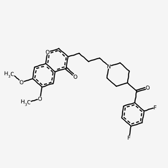 COc1cc2occ(CCCN3CCC(C(=O)c4ccc(F)cc4F)CC3)c(=O)c2cc1OC